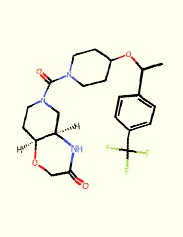 CC(OC1CCN(C(=O)N2CC[C@@H]3OCC(=O)N[C@@H]3C2)CC1)c1ccc(C(F)(F)F)cc1